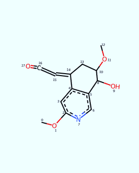 COc1cc2c(cn1)C(O)C(OC)CC2=C=C=O